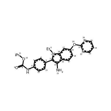 CCn1c(-c2ccc(NC(=O)OC(C)C)cc2)c(N)c2ccc(Oc3ncccn3)cc21